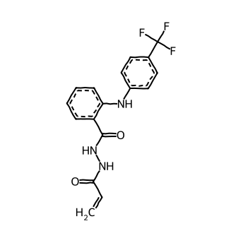 C=CC(=O)NNC(=O)c1ccccc1Nc1ccc(C(F)(F)F)cc1